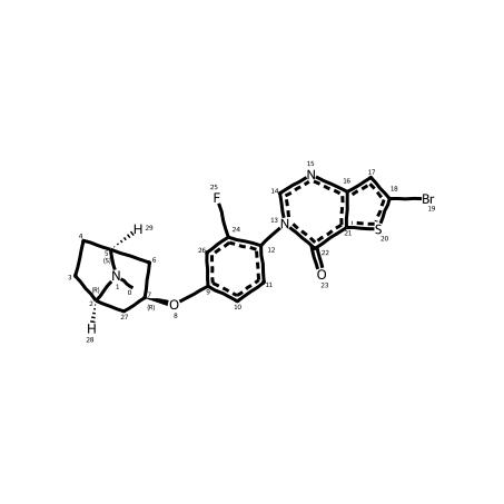 CN1[C@@H]2CC[C@H]1C[C@@H](Oc1ccc(-n3cnc4cc(Br)sc4c3=O)c(F)c1)C2